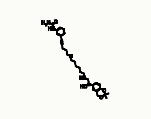 CC1(C)OCc2cc([C@H](O)CNCCCCCCOCCCC#Cc3cccc(NC(N)=O)c3)ccc2O1